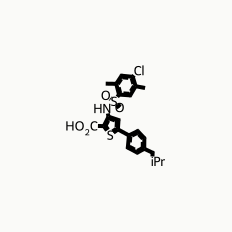 Cc1cc(S(=O)(=O)Nc2cc(-c3ccc(CC(C)C)cc3)sc2C(=O)O)c(C)cc1Cl